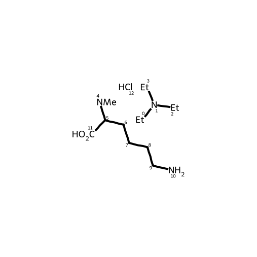 CCN(CC)CC.CNC(CCCCN)C(=O)O.Cl